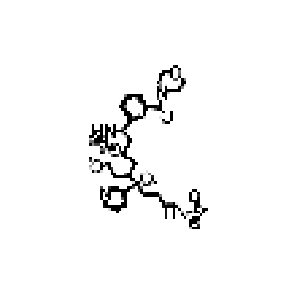 COCCC(CCCC(NS(C)(=O)=O)c1cccc(C(=O)N2CCOCC2)c1)C(CCCCNS(C)(=O)=O)(OC)c1cccnc1